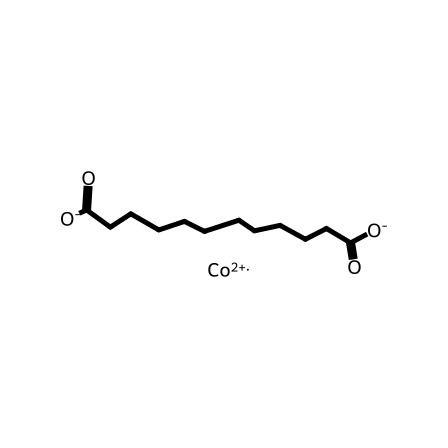 O=C([O-])CCCCCCCCCCC(=O)[O-].[Co+2]